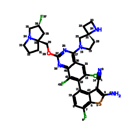 N#Cc1c(N)sc2c(F)ccc(-c3c(Cl)cc4c(N5CC[C@@]6(CCN6)C5)nc(OC[C@@]56CCCN5C[C@H](F)C6)nc4c3F)c12